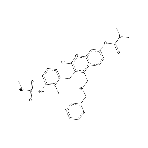 CNS(=O)(=O)Nc1cccc(Cc2c(CNCc3cnccn3)c3ccc(OC(=O)N(C)C)cc3oc2=O)c1F